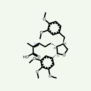 COc1ccc(C[C@H]2CO[C@H](c3cc(OC)c(OC)c(OC)c3)[C@@H]2CC/C=C(/C)C(=O)O)cc1OC